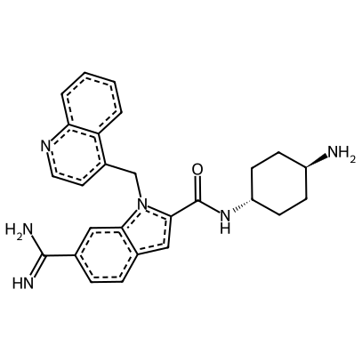 N=C(N)c1ccc2cc(C(=O)N[C@H]3CC[C@H](N)CC3)n(Cc3ccnc4ccccc34)c2c1